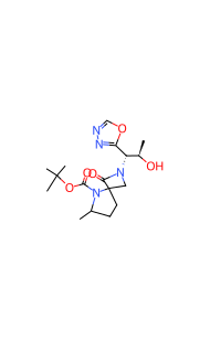 CC1CCC2(CN([C@H](c3nnco3)[C@@H](C)O)C2=O)N1C(=O)OC(C)(C)C